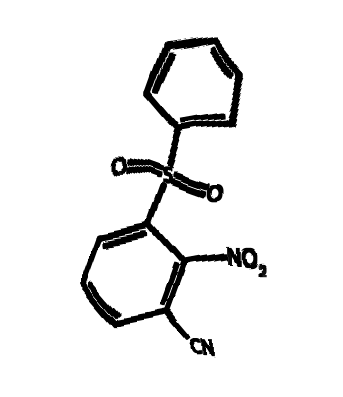 N#Cc1cccc(S(=O)(=O)c2ccccc2)c1[N+](=O)[O-]